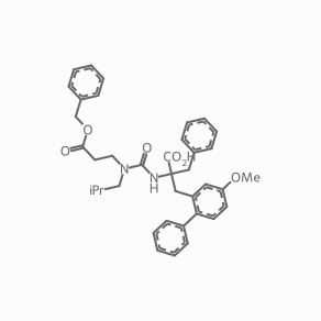 COc1ccc(-c2ccccc2)c(CC(Cc2ccccc2)(NC(=O)N(CCC(=O)OCc2ccccc2)CC(C)C)C(=O)O)c1